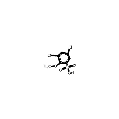 COc1c(Cl)cc(Cl)cc1S(=O)(=O)O